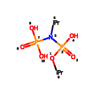 CC(C)OP(=O)(O)N(C(C)C)P(=O)(O)O